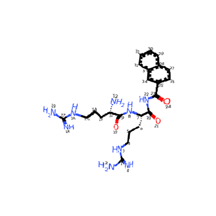 N=C(N)NCCC[C@H](NC(=O)[C@@H](N)CCCNC(=N)N)C(=O)NC(=O)c1ccc2ccccc2c1